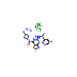 Cc1nc2nc(NC(C)c3cncc(F)c3)nc(C(=O)N3CC(CN)C3)c2s1.Cl.Cl.Cl